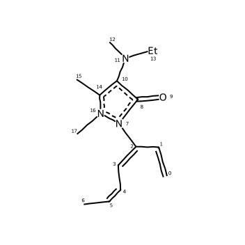 C=C/C(=C\C=C/C)n1c(=O)c(N(C)CC)c(C)n1C